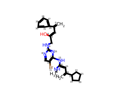 C=C(/C=C(\O)CNc1ncc(Br)c(N/C(=C/C(=C)C2CCCC2)NC)n1)c1ccccc1